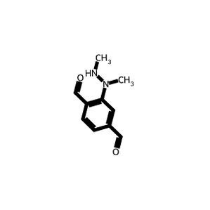 CNN(C)c1cc(C=O)ccc1C=O